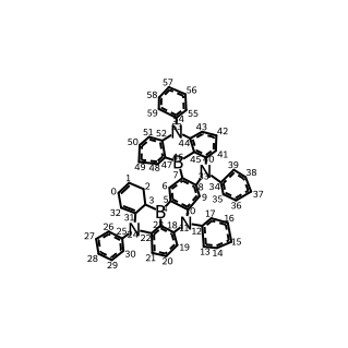 C1=CCC2B3c4cc5c(cc4N(c4ccccc4)c4cccc(c43)N(c3ccccc3)C2=C1)N(c1ccccc1)c1cccc2c1B5c1ccccc1N2c1ccccc1